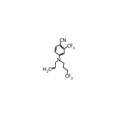 C=CCN(CCCC(F)(F)F)c1ccc(C#N)c(C(F)(F)F)c1